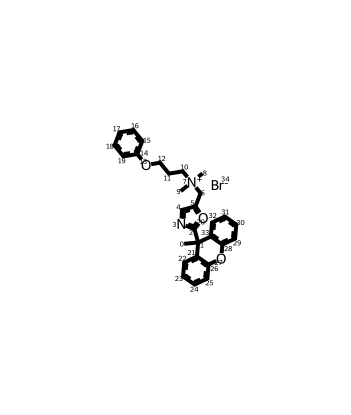 CC1(c2ncc(C[N+](C)(C)CCCOc3ccccc3)o2)c2ccccc2Oc2ccccc21.[Br-]